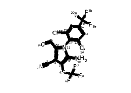 N#Cc1c(SC(F)(F)F)c(N)n(-c2c(Cl)cc(C(F)(F)F)cc2Cl)c1C=O